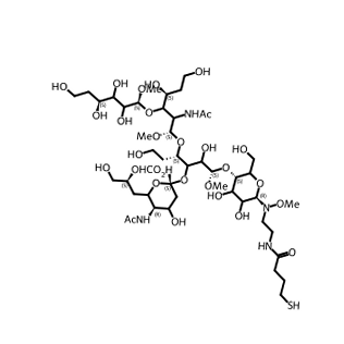 CO[C@@H](O[C@@H]1C(CO)O[C@@H](N(CCNC(=O)CCCS)OC)C(O)C1O)C(O)C(O[C@]1(C(=O)O)CC(O)[C@@H](NC(C)=O)C(C[C@H](O)CO)O1)[C@H](CCO)O[C@H](OC)C(NC(C)=O)C(O[C@H](OC)C(O)C(O)[C@@H](O)CCO)[C@@H](O)CCO